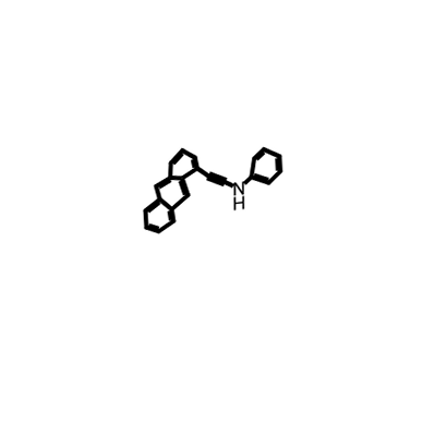 C(#Cc1cccc2cc3ccccc3cc12)Nc1ccccc1